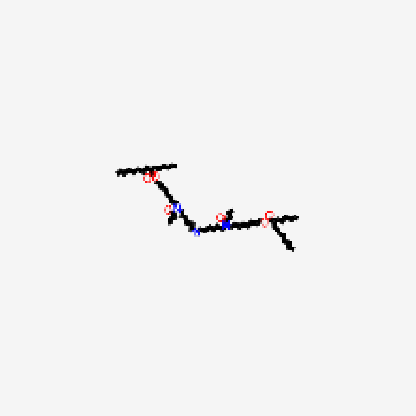 CCCCCCCCC(CCCCCC)C(=O)OCCCCCCCCN(CCCCCCN(C)CCCCCCN(CCCCCCCCOC(=O)C(CCCCCC)CCCCCCCC)C(=O)CCC)C(=O)CCC